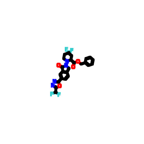 O=C(OCc1ccccc1)C1CC(F)(F)CCN1N1Cc2ccc(-c3nnc(C(F)F)o3)cc2C1=O